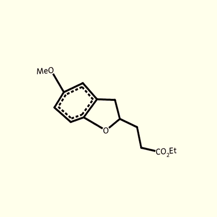 CCOC(=O)CCC1Cc2cc(OC)ccc2O1